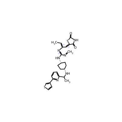 C=N\C(=N/C(=C\C)/C=C1\SC(=O)NC1=O)N[C@H]1CC[C@@H](NC(C)c2cccc(-c3ccsc3)n2)CC1